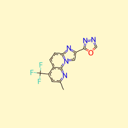 Cc1cc(C(F)(F)F)c2ccc3nc(-c4nnco4)cn3c2n1